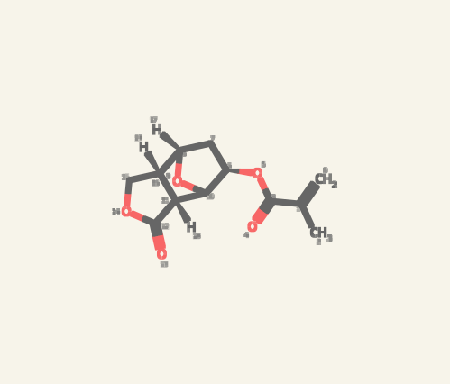 C=C(C)C(=O)O[C@@H]1C[C@@H]2OC1[C@@H]1C(=O)OC[C@H]21